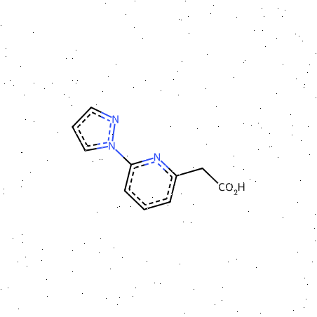 O=C(O)Cc1cccc(-n2cccn2)n1